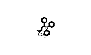 CC(=CCC(c1ccccc1)N(c1ccccc1)c1ccccc1)C(=O)O